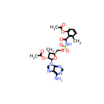 CC(=O)Oc1cccc(C)c1C(=O)NS(=O)(=O)OC[C@H]1O[C@@H](n2cnc3c(N)ncnc32)[C@H](OC(C)=O)[C@@H]1C